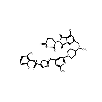 Cc1nc(Nc2ncc(C(=O)Nc3c(C)cccc3Cl)s2)cc(N2CCC(N(C)Cc3cc(F)c4c(c3)C(=O)N(C3CCC(=O)NC3=O)C4=O)CC2)n1